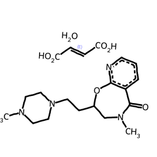 CN1CCN(CCC2CN(C)C(=O)c3cccnc3O2)CC1.O.O=C(O)/C=C/C(=O)O